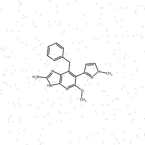 COc1nc2[nH]c(N)nc2c(Cc2ccccc2)c1-c1ccn(C)n1